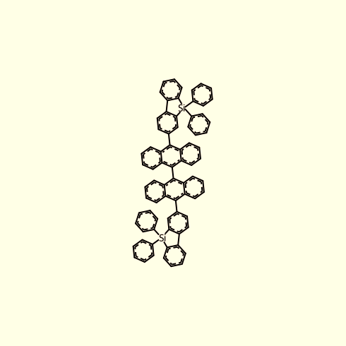 c1ccc([Si]2(c3ccccc3)c3ccccc3-c3ccc(-c4c5ccccc5c(-c5c6ccccc6c(-c6ccc7c(c6)[Si](c6ccccc6)(c6ccccc6)c6ccccc6-7)c6ccccc56)c5ccccc45)cc32)cc1